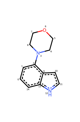 c1cc(N2CCOCC2)c2cc[nH]c2c1